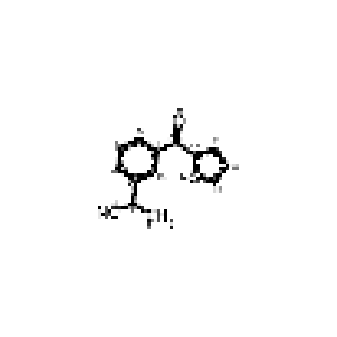 CC(C#N)c1cccc(C(=O)c2cccs2)c1